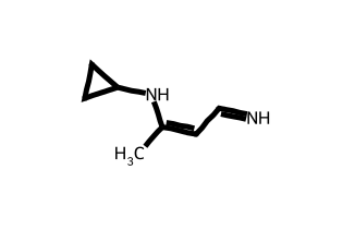 C/C(=C/C=N)NC1CC1